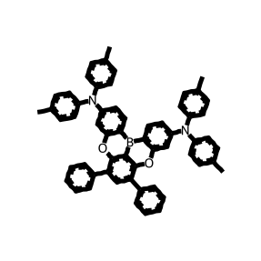 Cc1ccc(N(c2ccc(C)cc2)c2ccc3c(c2)Oc2c(-c4ccccc4)cc(-c4ccccc4)c4c2B3c2ccc(N(c3ccc(C)cc3)c3ccc(C)cc3)cc2O4)cc1